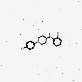 [O]c1ccc(N2CCC(Nc3ccccc3F)CC2)cc1